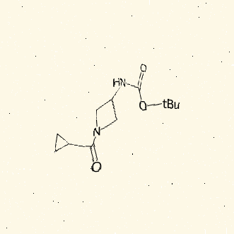 CC(C)(C)OC(=O)NC1CN(C(=O)C2CC2)C1